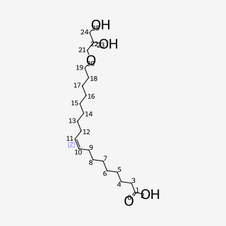 O=C(O)CCCCCCC/C=C\CCCCCCCCOCC(O)CO